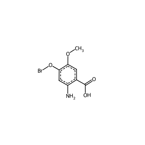 COc1cc(C(=O)O)c(N)cc1OBr